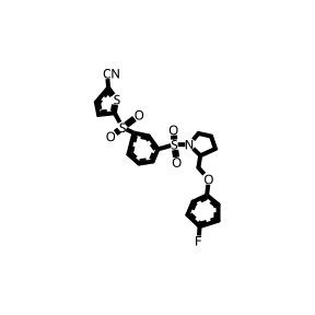 N#Cc1ccc(S(=O)(=O)c2cccc(S(=O)(=O)N3CCCC3COc3ccc(F)cc3)c2)s1